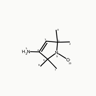 CC1(C)C=C(N)C(C)(C)N1[O]